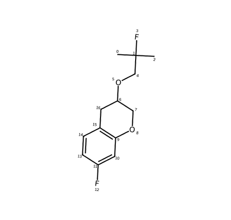 CC(C)(F)COC1COc2cc(F)ccc2C1